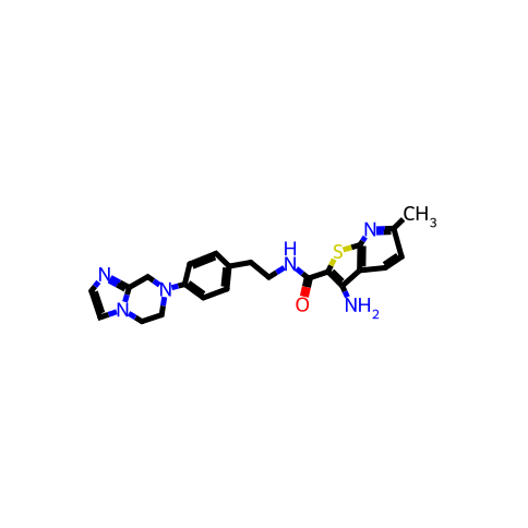 Cc1ccc2c(N)c(C(=O)NCCc3ccc(N4CCn5ccnc5C4)cc3)sc2n1